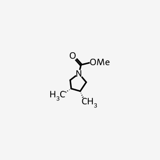 COC(=O)N1C[C@@H](C)[C@@H](C)C1